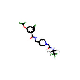 CC(C)(NC(=O)CN1CCC(CNC(=O)c2cc(F)cc(OC(F)F)c2)CC1)C(F)(F)F